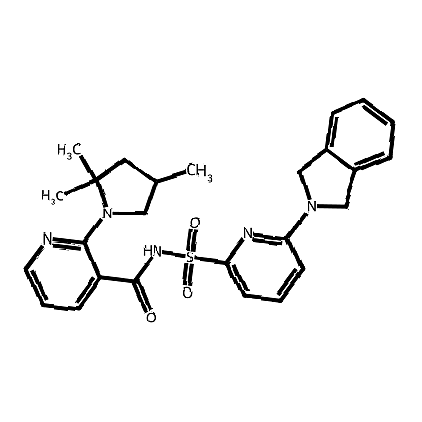 CC1CN(c2ncccc2C(=O)NS(=O)(=O)c2cccc(N3Cc4ccccc4C3)n2)C(C)(C)C1